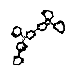 C1=CCC(N(c2ccc(C3=CCCC=C3)cc2)c2ccc(-c3ccc4c(c3)c3c(n4-c4ccccc4)CCC=C3)cc2)C=C1